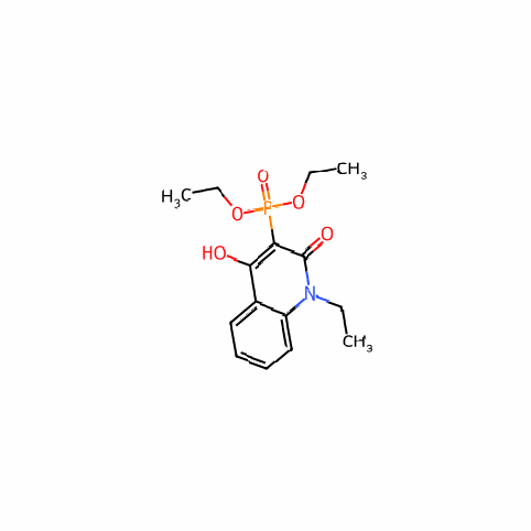 CCOP(=O)(OCC)c1c(O)c2ccccc2n(CC)c1=O